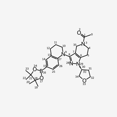 CC(=O)N1CCc2c(c(N3CCCc4cc(B5OC(C)(C)C(C)(C)O5)ccc43)nn2[C@H]2CCOC2)C1